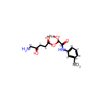 CCCOC(OC(=O)CCC(=O)CN)C(=O)Nc1cccc([N+](=O)[O-])c1